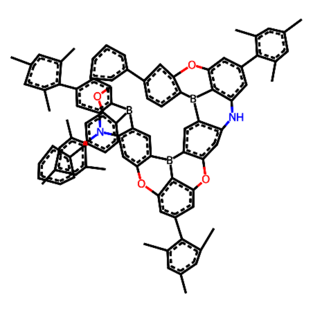 Cc1cc(C)c(-c2cc3c4c(c2)Oc2cc(-c5ccccc5)ccc2B4c2cc4c(cc2N3)Oc2cc(-c3c(C)cc(C)cc3C)cc3c2B4c2cc4c(cc2O3)N(c2c(C)cc(C)cc2C)c2cc(-c3c(C)cc(C)cc3C)cc3c2B4c2ccc(-c4ccccc4)cc2O3)c(C)c1